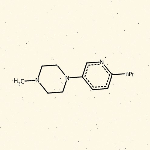 CCCc1ccc(N2CCN(C)CC2)cn1